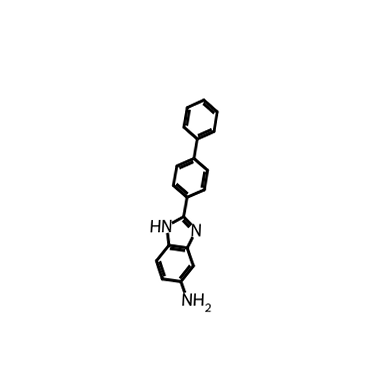 Nc1ccc2[nH]c(-c3ccc(-c4ccccc4)cc3)nc2c1